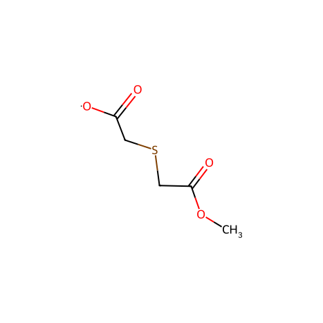 COC(=O)CSCC([O])=O